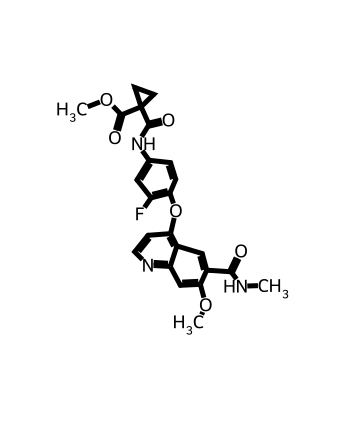 CNC(=O)c1cc2c(Oc3ccc(NC(=O)C4(C(=O)OC)CC4)cc3F)ccnc2cc1OC